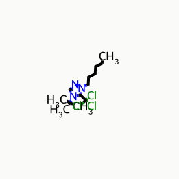 CCCCCCN1N=CN(C(C)(C)C)C1C(Cl)(Cl)Cl